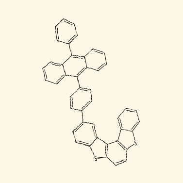 c1ccc(-c2c3ccccc3c(-c3ccc(-c4ccc5sc6ccc7sc8ccccc8c7c6c5c4)cc3)c3ccccc23)cc1